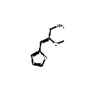 COC(=Cc1ccco1)CN